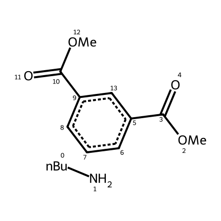 CCCCN.COC(=O)c1cccc(C(=O)OC)c1